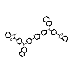 CN1c2ccccc2OC1c1ccc(N(c2ccc(-c3ccc(-c4ccc(N(C5=CCC6C=CC=CC6=C5)c5ccc(-c6nc7ccccc7o6)cc5)cc4)cc3)cc2)c2ccc3ccccc3c2)cc1